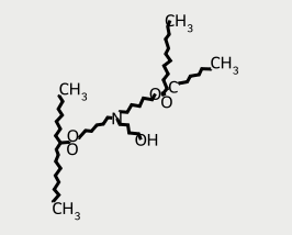 CCCCCCCCCCC(CCCCCCCC)C(=O)OCCCCCCN(CCCCO)CCCCCCOC(=O)C(CCCCCCCC)CCCCCCCCCC